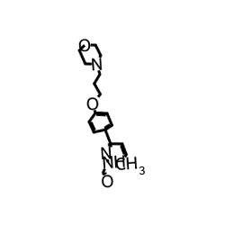 C/C=C\C(=N/NC=O)c1ccc(OCCCN2CCOCC2)cc1